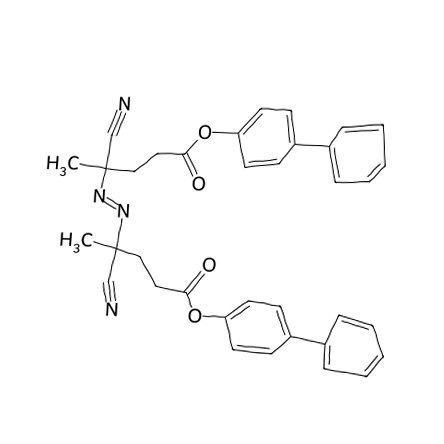 CC(C#N)(CCC(=O)Oc1ccc(-c2ccccc2)cc1)N=NC(C)(C#N)CCC(=O)Oc1ccc(-c2ccccc2)cc1